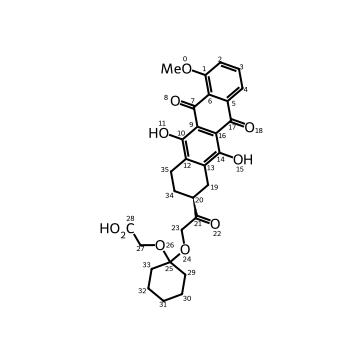 COc1cccc2c1C(=O)c1c(O)c3c(c(O)c1C2=O)C[C@@H](C(=O)COC1(OCC(=O)O)CCCCC1)CC3